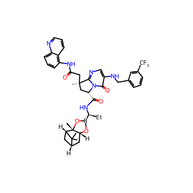 CC[C@H](NC(=O)[C@@H]1C[C@@](C)(CC(=O)Nc2cccc3ncccc23)c2ncc(NCc3cccc(C(F)(F)F)c3)c(=O)n21)B1O[C@@H]2C[C@@H]3C[C@@H](C3(C)C)[C@]2(C)O1